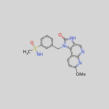 COc1ccc2c(ncc3[nH]c(=O)n(Cc4cccc(S(C)(=N)=O)c4)c32)n1